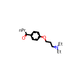 CCCC(=O)c1ccc(OCCCN(CC)CC)cc1